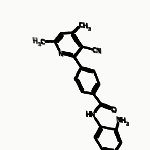 Cc1cc(C)c(C#N)c(-c2ccc(C(=O)Nc3ccccc3N)cc2)n1